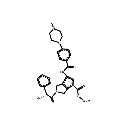 CCCCCOC(=O)n1cc(NC(=O)c2ccc(N3CCN(C)CC3)cc2)c2c1CN(C(=O)[C@H](OC)c1ccccc1)C2